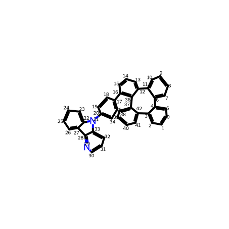 c1ccc2c(c1)-c1ccccc1-c1cccc(-c3ccc(-n4c5ccccc5c5ncccc54)cc3)c1-c1ccccc1-2